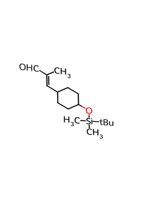 C/C(C=O)=C\C1CCC(O[Si](C)(C)C(C)(C)C)CC1